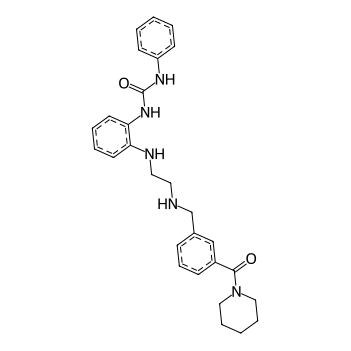 O=C(Nc1ccccc1)Nc1ccccc1NCCNCc1cccc(C(=O)N2CCCCC2)c1